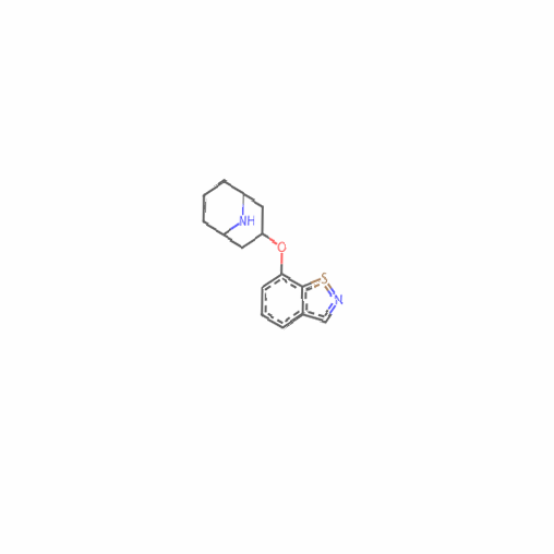 c1cc(OC2CC3CCCC(C2)N3)c2sncc2c1